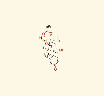 CCCC1O[C@@H]2C[C@H]3[C@@H]4CCC5=CC(=O)C=C[C@]5(C)[C@H]4[C@@H](O)C[C@]3(C)[C@]2(C(O)=S)O1